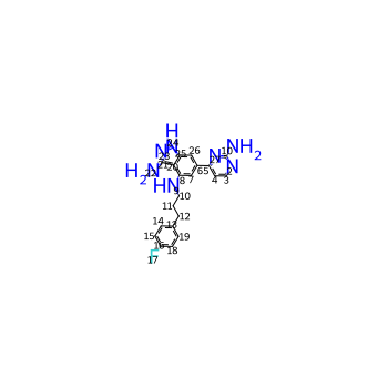 Nc1nccc(-c2cc(NCCCc3ccc(F)cc3)c3c(N)n[nH]c3c2)n1